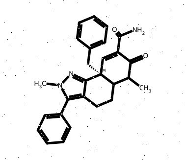 CC1C(=O)C(C(N)=O)=C[C@]2(Cc3ccccc3)c3nn(C)c(-c4ccccc4)c3CCC12